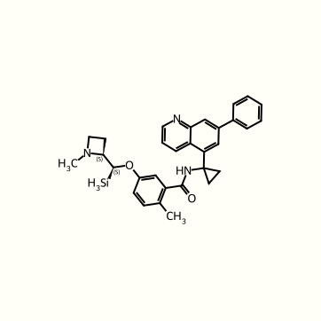 Cc1ccc(O[C@@H]([SiH3])[C@@H]2CCN2C)cc1C(=O)NC1(c2cc(-c3ccccc3)cc3ncccc23)CC1